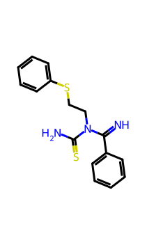 N=C(c1ccccc1)N(CCSc1ccccc1)C(N)=S